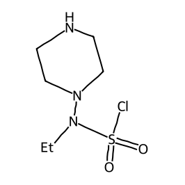 CCN(N1CCNCC1)S(=O)(=O)Cl